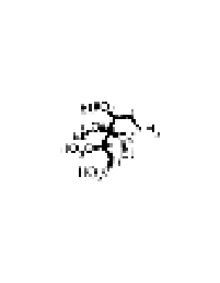 CCOC(C[SiH3])C(OCC)(OCC)C(CC(=O)O)C(=O)O